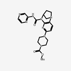 CC(C)(C)OC(=O)N1CCN(c2ccc3c(n2)N(C(=O)Nc2cnccn2)C2CCN3C2)CC1